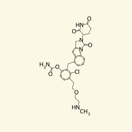 CNCCOCCc1ccc(OC(N)=O)c(Cc2cccc3c2cc2n3C(=O)N(C3CCC(=O)NC3=O)C2)c1Cl